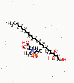 CCCC(P(=O)=O)[N+](C)(C)CCC(O)O.CCCCCCCCC=CCCCCCCCCCCCC(=O)C(O)CCO